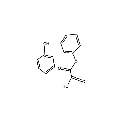 O=C(O)C(=O)Oc1ccccc1.Oc1ccccc1